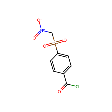 O=C(Cl)c1ccc(S(=O)(=O)C[N+](=O)[O-])cc1